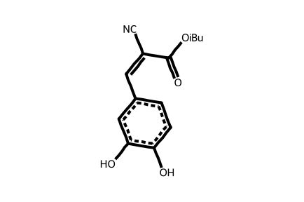 CC(C)COC(=O)C(C#N)=Cc1ccc(O)c(O)c1